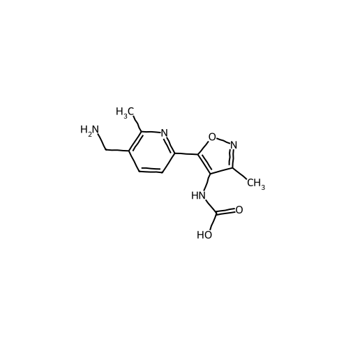 Cc1nc(-c2onc(C)c2NC(=O)O)ccc1CN